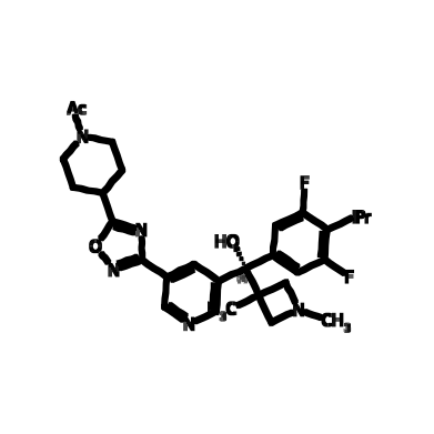 CC(=O)N1CCC(c2nc(-c3cncc([C@@](O)(c4cc(F)c(C(C)C)c(F)c4)C4(C)CN(C)C4)c3)no2)CC1